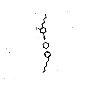 CCCCCCc1ccc([C@H]2CC[C@H](C#Cc3ccc(CCCCC)c(F)c3)CC2)cc1